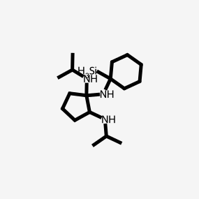 CC(C)NC1CCCC1(NC(C)C)NC1([SiH3])CCCCC1